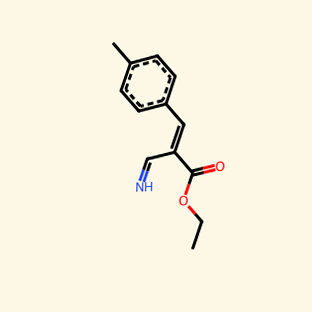 CCOC(=O)/C(C=N)=C/c1ccc(C)cc1